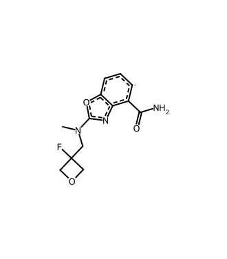 CN(CC1(F)COC1)c1nc2c(C(N)=O)[c]ccc2o1